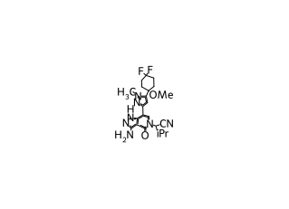 COC1(c2cc(-c3cn(C(C#N)C(C)C)c(=O)c4c(N)n[nH]c34)nn2C)CCC(F)(F)CC1